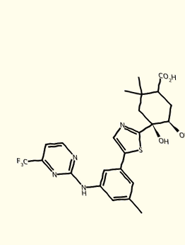 Cc1cc(Nc2nccc(C(F)(F)F)n2)cc(-c2cnc([C@]3(O)CC(C)(C)C(C(=O)O)C[C@H]3O)s2)c1